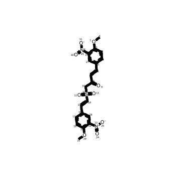 COc1ccc(C=CC(=O)CS(=O)(=O)/C=C/c2ccc(OC)c([N+](=O)[O-])c2)cc1[N+](=O)[O-]